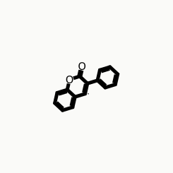 O=c1oc2ccccc2[c]c1-c1ccccc1